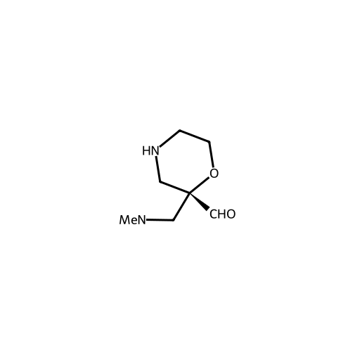 CNC[C@]1(C=O)CNCCO1